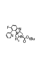 Cn1c(CNC(=O)OC(C)(C)C)nc2ccc(F)c(-c3ccccn3)c21